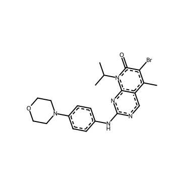 Cc1c(Br)c(=O)n(C(C)C)c2nc(Nc3ccc(N4CCOCC4)cc3)ncc12